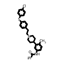 Cc1ccc(NC(=O)C(C)C)cc1C1CCN(CCc2ccc(Sc3ccc(Cl)cc3)cc2)CC1